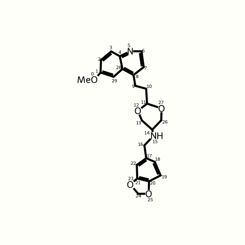 COc1ccc2nccc(CCC3OCC(NCc4ccc5c(c4)OCO5)CO3)c2c1